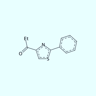 CCC(=O)c1csc(-c2ccccc2)n1